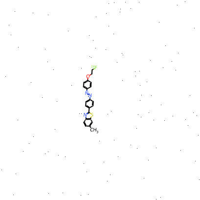 Cc1ccc2nc(-c3ccc(/N=N/c4ccc(OCC[18F])cc4)cc3)sc2c1